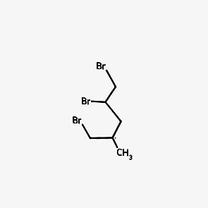 C[C](CBr)CC(Br)CBr